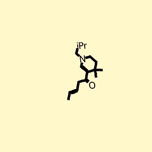 C/C=C/CC(=O)C1=CN(CC(C)C)CCC1(C)C